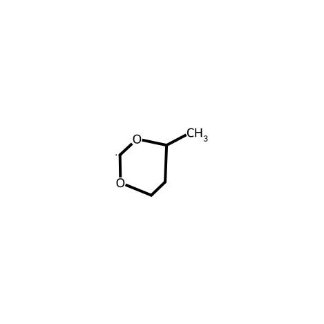 CC1CCO[CH]O1